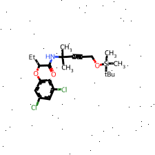 CCC(Oc1cc(Cl)cc(Cl)c1)C(=O)NC(C)(C)C#CCO[Si](C)(C)C(C)(C)C